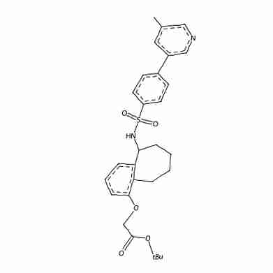 Cc1cncc(-c2ccc(S(=O)(=O)NC3CCCCc4c(OCC(=O)OC(C)(C)C)cccc43)cc2)c1